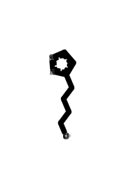 [O]CCCCc1ccsn1